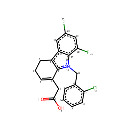 O=C(O)CC1=CCCc2c1n(Cc1ccccc1Cl)c1c(F)cc(F)cc21